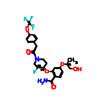 C[C@@H](CO)Oc1ccc(C(N)=O)c(O[C@@H]2CCN(C(=O)Cc3ccc(OC(F)(F)F)cc3)C[C@@H]2F)c1